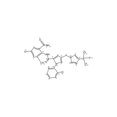 Cc1cc(Cl)cc(C(N)=O)c1NC(=O)c1cc(Cn2cc(C(F)(C(F)(F)F)C(F)(F)F)nn2)nn1-c1ncccc1Cl